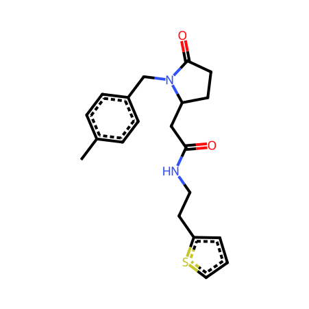 Cc1ccc(CN2C(=O)CCC2CC(=O)NCCc2cccs2)cc1